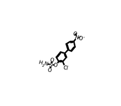 NS(=O)(=O)Oc1ccc(-c2ccc([N+](=O)[O-])cc2)cc1Cl